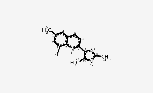 Cc1cc(F)c2nc(-c3sc(C)nc3C)ccc2c1